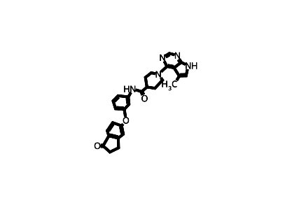 Cc1c[nH]c2ncnc(N3CCC(C(=O)Nc4cccc(Oc5ccc6c(c5)CCC6=O)c4)CC3)c12